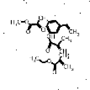 C=C(C)C(=O)O.C=C(C)C(=O)OC.C=C(C)C(=O)OCC.C=Cc1ccccc1